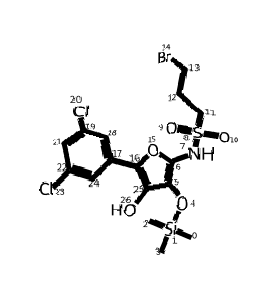 C[Si](C)(C)Oc1c(NS(=O)(=O)CCCBr)oc(-c2cc(Cl)cc(Cl)c2)c1O